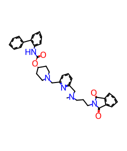 CN(CCCN1C(=O)c2ccccc2C1=O)Cc1cccc(CN2CCC(OC(=O)Nc3ccccc3-c3ccccc3)CC2)n1